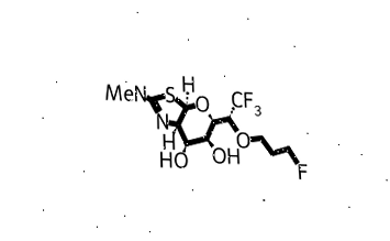 CNC1=N[C@@H]2[C@@H](O)[C@H](O)[C@@H]([C@@H](OCCCF)C(F)(F)F)O[C@@H]2S1